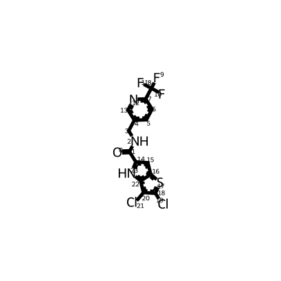 O=C(NCc1ccc(C(F)(F)F)nc1)c1cc2sc(Cl)c(Cl)c2[nH]1